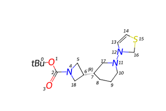 CC(C)(C)OC(=O)N1CC([C@H]2CCCN(N3C=CSC3)C2)C1